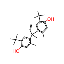 C=CC(C)(c1cc(C(C)(C)C)c(O)cc1C)c1cc(C(C)(C)C)c(O)cc1C